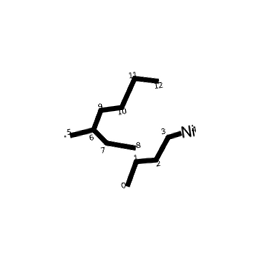 CCC[CH2][Ni].[CH2]C(CC)CCCC